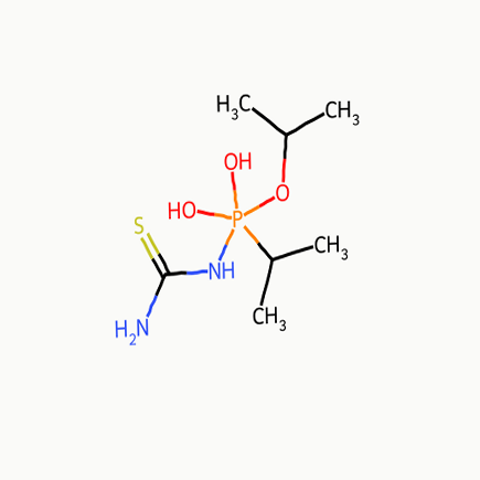 CC(C)OP(O)(O)(NC(N)=S)C(C)C